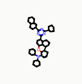 c1ccc(-c2nc(-c3ccc4ccccc4c3)nc(-c3ccc4c5c(cccc35)-c3cccc(N(c5ccccc5)c5ccccc5)c3O4)n2)cc1